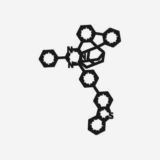 c1ccc(-c2nc(-c3ccc(-c4ccc5sc6ccccc6c5c4)cc3)nc(-c3cccc4c3C3(c5ccccc5-4)C4CC5CC(C4)CC3C5)n2)cc1